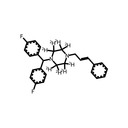 [2H]C1([2H])N(CC=Cc2ccccc2)C([2H])([2H])C([2H])([2H])N(C(c2ccc(F)cc2)c2ccc(F)cc2)C1([2H])[2H]